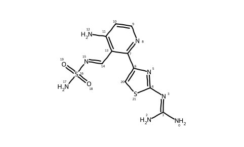 NC(N)=Nc1nc(-c2nccc(N)c2C=NS(N)(=O)=O)cs1